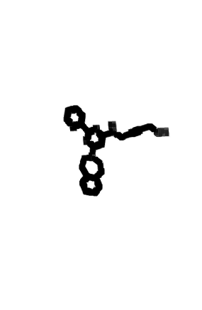 OCC#CCNc1cc(N2CCc3ccccc3CC2)nc(-c2ccccn2)n1